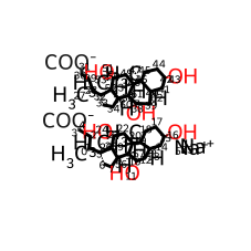 C[C@H](CCC(=O)[O-])[C@H]1CC[C@H]2[C@@H]3[C@H](O)C[C@@H]4C[C@H](O)CC[C@]4(C)[C@H]3C[C@H](O)[C@]12C.C[C@H](CCC(=O)[O-])[C@H]1CC[C@H]2[C@@H]3[C@H](O)C[C@@H]4C[C@H](O)CC[C@]4(C)[C@H]3C[C@H](O)[C@]12C.[Na+].[Na+]